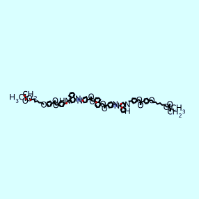 C=C(C)C(=O)OCCCCCCOc1ccc(C(=O)Oc2ccc(CNc3ccc(/N=N/c4ccc(C(=O)Oc5cccc6c(OC(=O)c7ccc(/N=N/c8ccc(NCc9ccc(OC(=O)c%10ccc(OCCCCCCOC(=O)C(=C)C)cc%10)cc9)c9ccccc89)cc7)cccc56)cc4)c4ccccc34)cc2)cc1